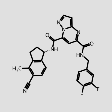 Cc1c(C#N)ccc2c1CC[C@@H]2NC(=O)c1cc(C(=O)NCc2ccc(F)c(F)c2)nc2ccnn12